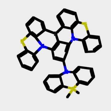 CS1(C)c2ccccc2N(c2cc3c4c(c2)N2c5ccccc5Sc5cccc(c52)B4c2cccc4c2N3c2ccccc2S4)c2ccccc21